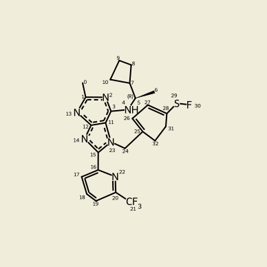 Cc1nc(N[C@H](C)C2CCC2)c2c(n1)nc(C1=C=C=CC(C(F)(F)F)=N1)n2CC1=CC=C(SF)CC1